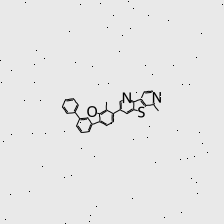 Cc1c(-c2cnc3c(c2)sc2c(C)nccc23)ccc2c1oc1c(-c3ccccc3)cccc12